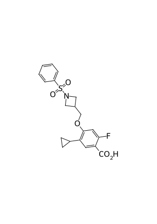 O=C(O)c1cc(C2CC2)c(OCC2CN(S(=O)(=O)c3ccccc3)C2)cc1F